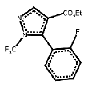 CCOC(=O)c1cnn(C(F)(F)F)c1-c1ccccc1F